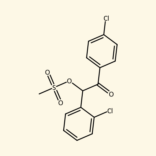 CS(=O)(=O)OC(C(=O)c1ccc(Cl)cc1)c1ccccc1Cl